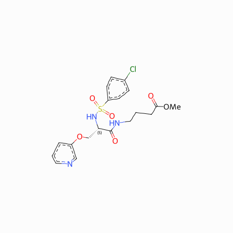 COC(=O)CCCNC(=O)[C@H](COc1cccnc1)NS(=O)(=O)c1ccc(Cl)cc1